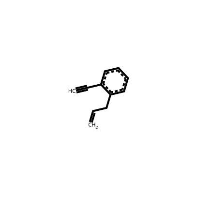 C#Cc1ccccc1CC=C